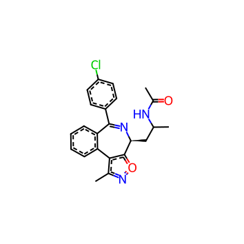 CC(=O)NC(C)C[C@@H]1N=C(c2ccc(Cl)cc2)c2ccccc2-c2c(C)noc21